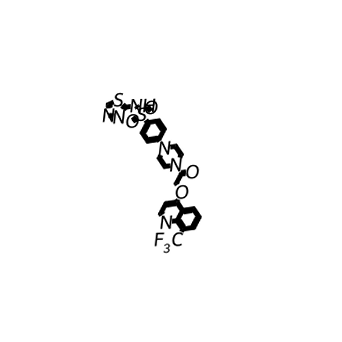 O=C(COc1ccnc2c(C(F)(F)F)cccc12)N1CCN(c2ccc(S(=O)(=O)Nc3nncs3)cc2)CC1